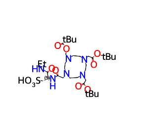 CCNC(=O)[C@@H](CS(=O)(=O)O)NC(=O)CN1CCN(COC(=O)C(C)(C)C)CCN(CC(=O)OC(C)(C)C)CCN(CC(=O)OC(C)(C)C)CC1